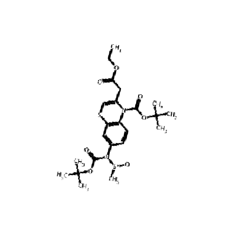 CCOC(=O)CC1=CSc2cc(N(C(=O)OC(C)(C)C)[S+](C)[O-])ccc2N1C(=O)OC(C)(C)C